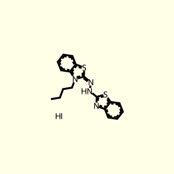 CCCCn1c(=NNc2nc3ccccc3s2)sc2ccccc21.I